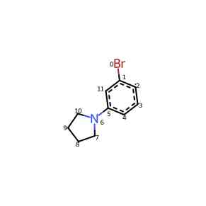 Brc1[c]ccc(N2CCCC2)c1